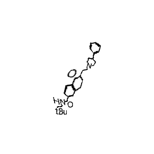 CC(C)(C)CCNC(=O)c1ccc2c(c1)CCC(CCN1CCC(c3ccccc3)CC1)C2=O